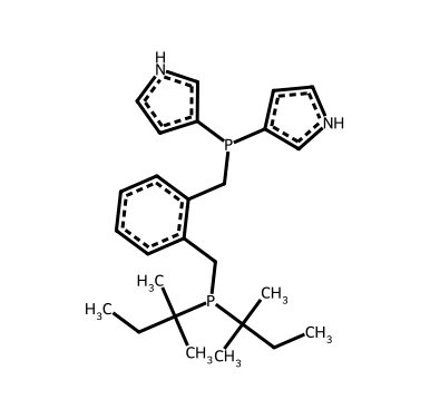 CCC(C)(C)P(Cc1ccccc1CP(c1cc[nH]c1)c1cc[nH]c1)C(C)(C)CC